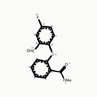 COC(=O)c1ccccc1Sc1ccc(F)cc1C=O